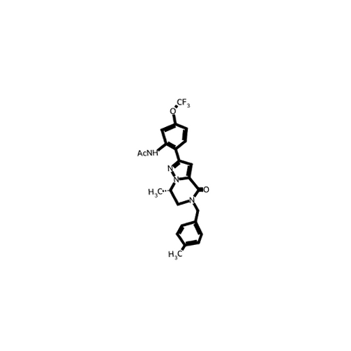 CC(=O)Nc1cc(OC(F)(F)F)ccc1-c1cc2n(n1)[C@@H](C)CN(Cc1ccc(C)cc1)C2=O